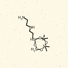 C[Si]1(C)O[SiH2]O[SiH](CCCNCCN)O[Si](C)(C)O1